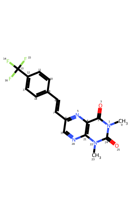 Cn1c(=O)c2nc(C=Cc3ccc(C(F)(F)F)cc3)cnc2n(C)c1=O